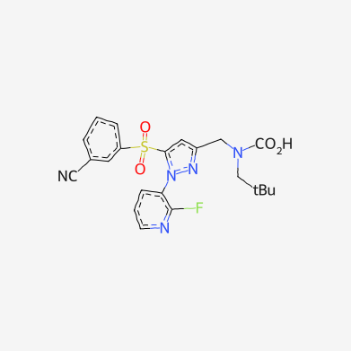 CC(C)(C)CN(Cc1cc(S(=O)(=O)c2cccc(C#N)c2)n(-c2cccnc2F)n1)C(=O)O